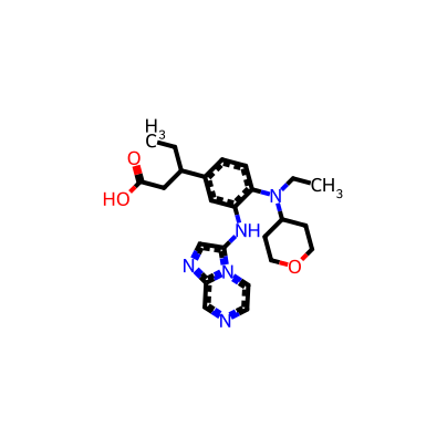 CCC(CC(=O)O)c1ccc(N(CC)C2CCOCC2)c(Nc2cnc3cnccn23)c1